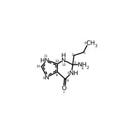 CCCC1(N)NC(=O)c2nc[nH]c2N1